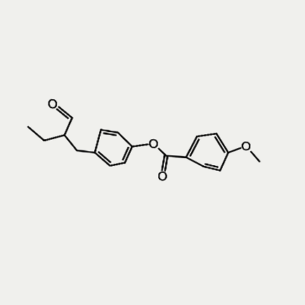 CCC(C=O)Cc1ccc(OC(=O)c2ccc(OC)cc2)cc1